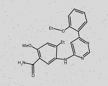 CCOc1ccccc1-c1cc(Nc2cc(C(N)=O)c(OC)cc2CC)ncn1